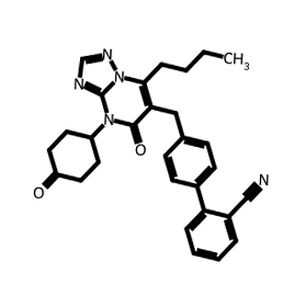 CCCCc1c(Cc2ccc(-c3ccccc3C#N)cc2)c(=O)n(C2CCC(=O)CC2)c2ncnn12